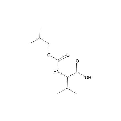 CC(C)COC(=O)NC(C(=O)O)C(C)C